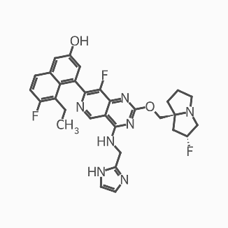 CCc1c(F)ccc2cc(O)cc(-c3ncc4c(NCc5ncc[nH]5)nc(OC[C@@]56CCCN5C[C@H](F)C6)nc4c3F)c12